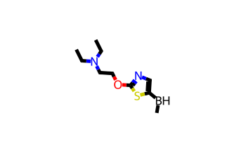 CBc1cnc(OCCN(CC)CC)s1